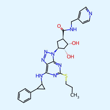 CCCSc1nc(NC2CC2c2ccccc2)c2nnn([C@H]3C[C@@H](C(=O)NCc4ccncc4)[C@H](O)[C@@H]3O)c2n1